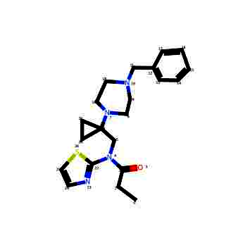 CCC(=O)N(CC1(N2CCN(Cc3ccccc3)CC2)CC1)c1nccs1